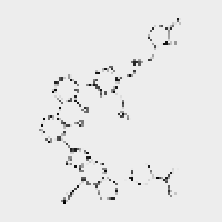 COc1nc(-c2cccc(-c3cccc(-c4cc5cc6c(c(C#N)c5o4)CC[C@H]6N4CC[C@@H](C(=O)O)C4)c3Cl)c2Cl)cnc1CNC[C@@H]1CCC(=O)N1